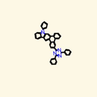 c1ccc(-c2nc(-c3ccccc3)nc(-c3ccc4c(c3)c3ccccc3c3cc5c(cc43)c3ccccc3n5-c3ccccc3)n2)cc1